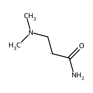 CN(C)C[CH]C(N)=O